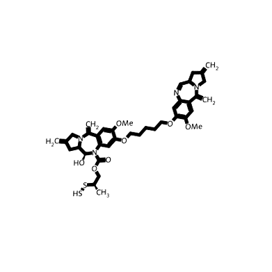 C=C1CC2C=Nc3cc(OCCCCCOc4cc5c(cc4OC)C(=C)N4CC(=C)CC4[C@H](O)N5C(=O)OC[C@@H](C)SS)c(OC)cc3C(=C)N2C1